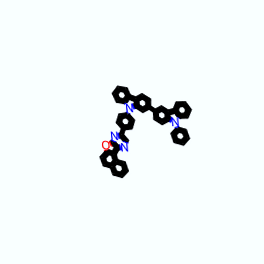 c1ccc(-n2c3ccccc3c3cc(-c4ccc5c6ccccc6n(-c6ccc(-c7cnc8c(n7)oc7ccc9ccccc9c78)cc6)c5c4)ccc32)cc1